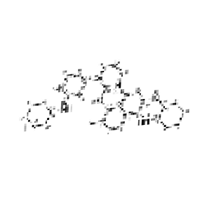 Cc1ccc2c(N[C@H]3CCCC[C@@H]3O)cccc2c1Oc1ncccc1-c1ccnc(N[C@H]2CCCNC2)n1